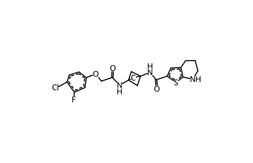 O=C(COc1ccc(Cl)c(F)c1)NC12CC(NC(=O)c3cc4c(s3)NCCC4)(C1)C2